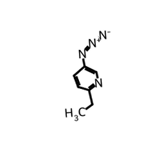 CCc1ccc(N=[N+]=[N-])cn1